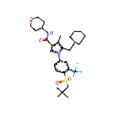 Cc1c(C(=O)NC2CCOCC2)cn(-c2ccc(S(=O)(=O)CC(C)(C)C)c(C(F)(F)F)c2)c1CC1CCCCC1